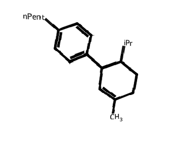 CCCCCc1c[c]c(C2C=C(C)CCC2C(C)C)[c]c1